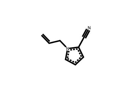 C=CCn1cccc1C#N